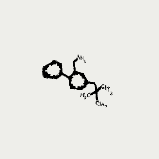 CC(C)(C)Cc1ccc(-c2ccccc2)c(CN)c1